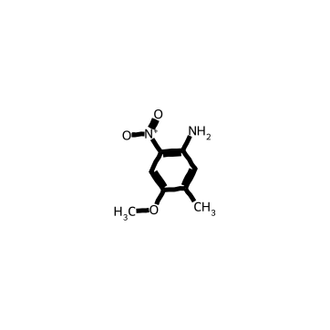 COc1cc([N+](=O)[O-])c(N)cc1C